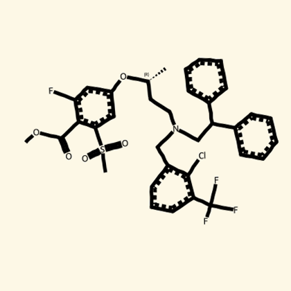 COC(=O)c1c(F)cc(O[C@H](C)CCN(Cc2cccc(C(F)(F)F)c2Cl)CC(c2ccccc2)c2ccccc2)cc1S(C)(=O)=O